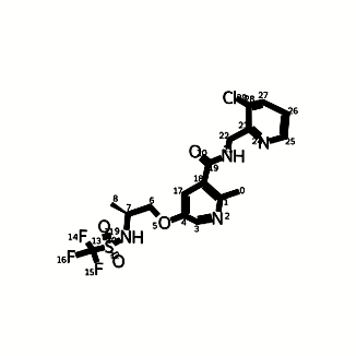 Cc1ncc(OC[C@H](C)NS(=O)(=O)C(F)(F)F)cc1C(=O)NCc1ncccc1Cl